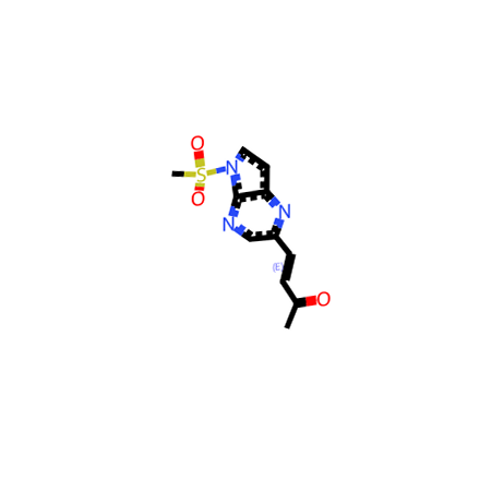 CC(=O)/C=C/c1cnc2c(ccn2S(C)(=O)=O)n1